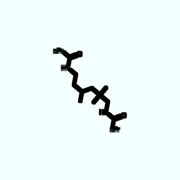 CCCC(=O)NCCC(C)CC(C)(C)CNC(=O)CCC